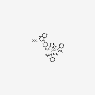 CC(C)([CH2][Sn+]([CH2]C(C)(C)c1ccccc1)[CH2]C(C)(C)c1ccccc1)c1ccccc1.O=C([O-])c1cnc2ccccc2n1